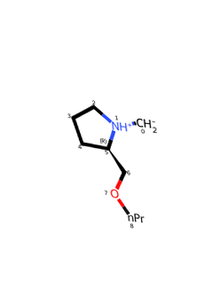 [CH2-][NH+]1CCC[C@@H]1COCCC